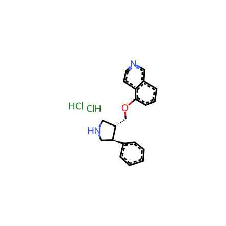 Cl.Cl.c1ccc([C@H]2CNC[C@@H]2COc2cccc3cnccc23)cc1